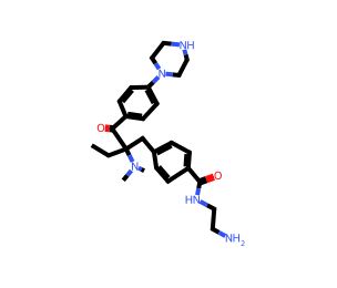 CCC(Cc1ccc(C(=O)NCCN)cc1)(C(=O)c1ccc(N2CCNCC2)cc1)N(C)C